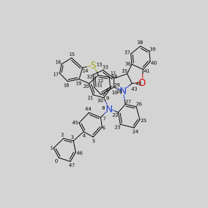 c1ccc(-c2ccc(N(c3ccc4sc5ccccc5c4c3)c3ccccc3N3c4ccccc4C4c5ccccc5OC43)cc2)cc1